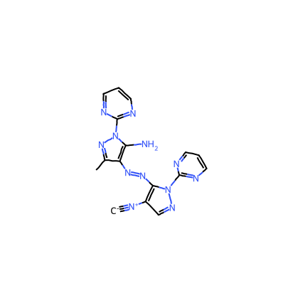 [C-]#[N+]c1cnn(-c2ncccn2)c1/N=N/c1c(C)nn(-c2ncccn2)c1N